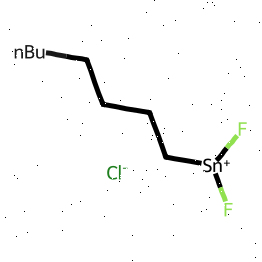 CCCCCCC[CH2][Sn+]([F])[F].[Cl-]